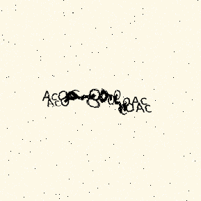 CC(=O)Oc1ccc(/C=C/C(=O)Oc2ccc(COC(=O)/C=C/c3cccc(OC(C)=O)c3OC(C)=O)cc2)cc1OC(C)=O